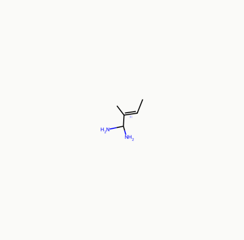 C/C=C(\C)C(N)N